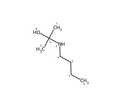 CCCCNC(C)(C)O